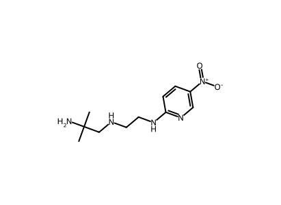 CC(C)(N)CNCCNc1ccc([N+](=O)[O-])cn1